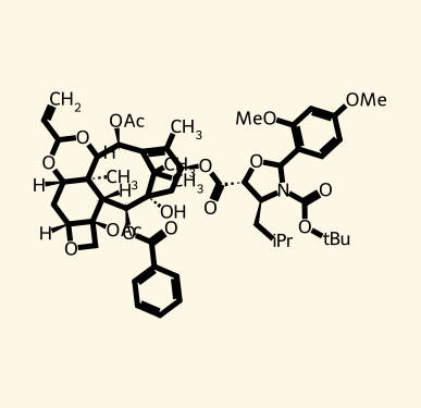 C=CC1O[C@H]2C[C@H]3OC[C@@]3(OC(C)=O)[C@H]3[C@H](OC(=O)c4ccccc4)[C@]4(O)C[C@H](OC(=O)[C@@H]5OC(c6ccc(OC)cc6OC)N(C(=O)OC(C)(C)C)[C@H]5CC(C)C)C(C)=C([C@H](OC(C)=O)[C@H](O1)[C@]23C)C4(C)C